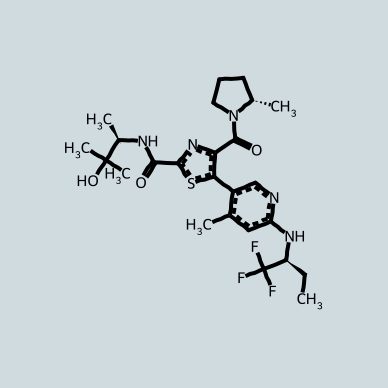 CC[C@H](Nc1cc(C)c(-c2sc(C(=O)N[C@H](C)C(C)(C)O)nc2C(=O)N2CCC[C@@H]2C)cn1)C(F)(F)F